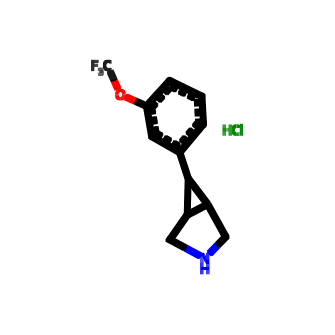 Cl.FC(F)(F)Oc1cccc(C2C3CNCC32)c1